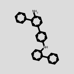 Nc1ccc(-c2ccc(Nc3ccccc3-c3ccccc3)cc2)cc1-c1ccccc1